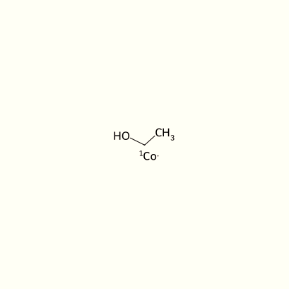 CCO.[1Co]